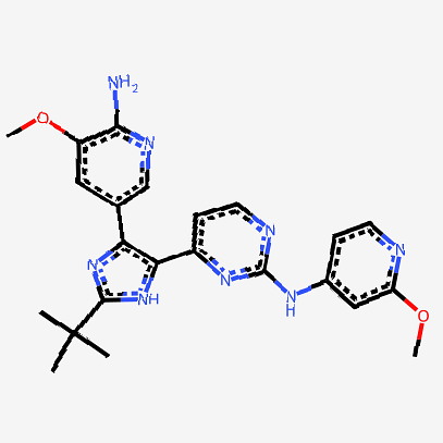 COc1cc(Nc2nccc(-c3[nH]c(C(C)(C)C)nc3-c3cnc(N)c(OC)c3)n2)ccn1